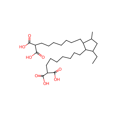 CCC1CC(C)C(CCCCCCCC(C(=O)O)C(=O)O)C1CCCCCCCC(C(=O)O)C(=O)O